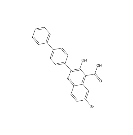 O=C(O)c1c(O)c(-c2ccc(-c3ccccc3)cc2)nc2ccc(Br)cc12